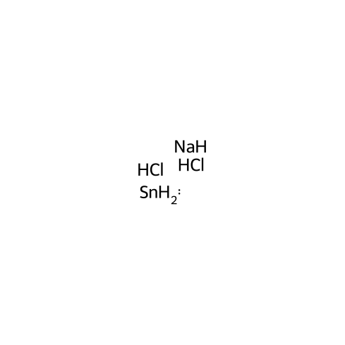 Cl.Cl.[NaH].[SnH2]